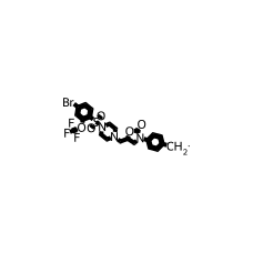 [CH2]c1ccc(N2CC(CN3CCN(S(=O)(=O)c4ccc(Br)cc4OC(F)(F)F)CC3)OC2=O)cc1